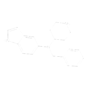 c1ccc(CN(c2ccc3[nH]ccc3c2)C2CCNCC2)cc1